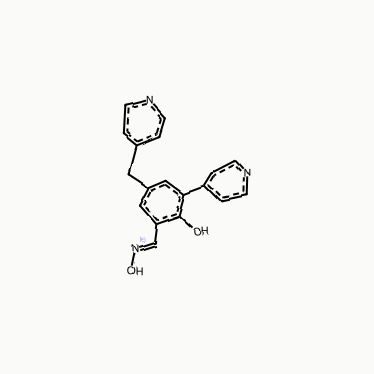 O/N=C/c1cc(Cc2ccncc2)cc(-c2ccncc2)c1O